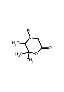 CCN1CC(=O)OC(C)(C)C1C